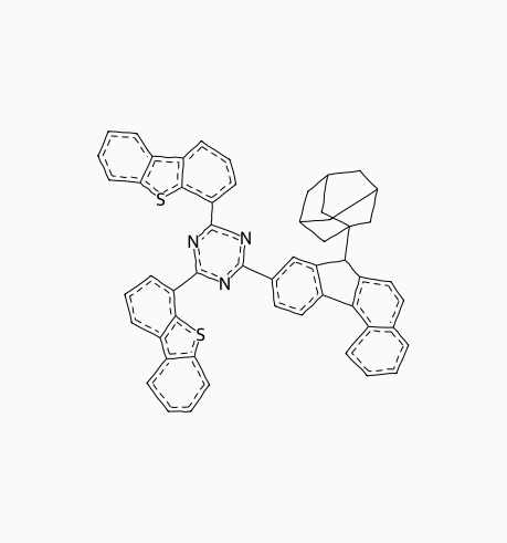 c1ccc2c3c(ccc2c1)C(C12CC4CC(CC(C4)C1)C2)c1cc(-c2nc(-c4cccc5c4sc4ccccc45)nc(-c4cccc5c4sc4ccccc45)n2)ccc1-3